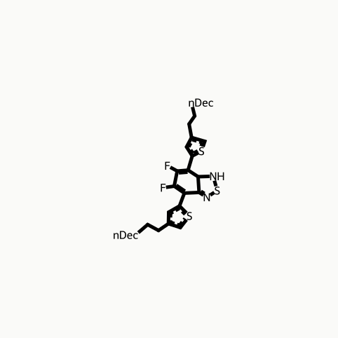 CCCCCCCCCCCCc1csc(C2=C(F)C(F)=C(c3cc(CCCCCCCCCCCC)cs3)C3NSN=C23)c1